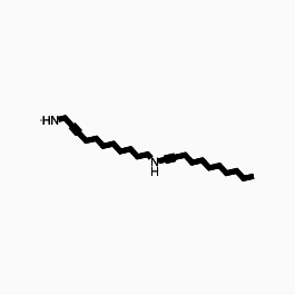 CCCCCCCCCC#CNCCCCCCCCC#CC[NH]